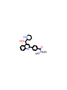 CCCN(CCC)C(=O)c1ccc(-c2cc([C@H](O)C3CCCCN3)c3ccccc3n2)cc1